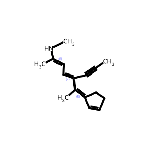 CC#CC(=C\C=C(/C)NC)/C(C)=C1/C=CCC1